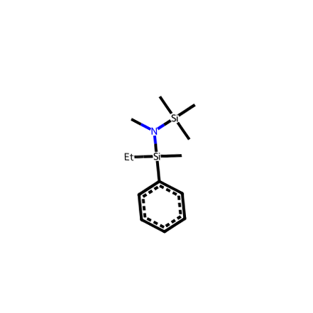 CC[Si](C)(c1ccccc1)N(C)[Si](C)(C)C